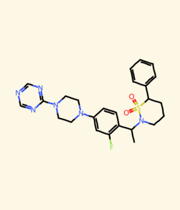 CC(c1ccc(N2CCN(c3ncncn3)CC2)cc1F)N1CCCC(c2ccccc2)S1(=O)=O